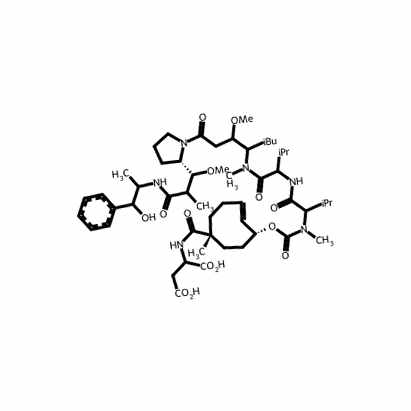 CCC(C)C(C(CC(=O)N1CCC[C@H]1C(OC)C(C)C(=O)NC(C)C(O)c1ccccc1)OC)N(C)C(=O)C(NC(=O)C(C(C)C)N(C)C(=O)O[C@H]1/C=C/CC[C@@](C)(C(=O)NC(CC(=O)O)C(=O)O)CC1)C(C)C